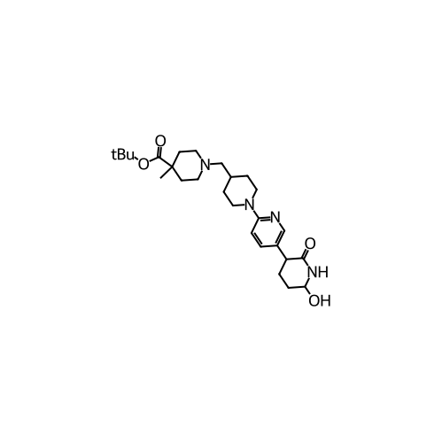 CC(C)(C)OC(=O)C1(C)CCN(CC2CCN(c3ccc(C4CCC(O)NC4=O)cn3)CC2)CC1